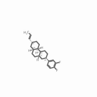 CC=C[C@@H]1CC[C@H]2[C@H](CC[C@H]3C[C@H](c4ccc(F)c(F)c4)CC[C@@H]32)C1